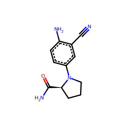 N#Cc1cc(N2CCC[C@H]2C(N)=O)ccc1N